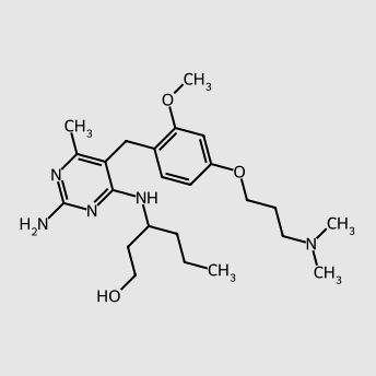 CCCC(CCO)Nc1nc(N)nc(C)c1Cc1ccc(OCCCN(C)C)cc1OC